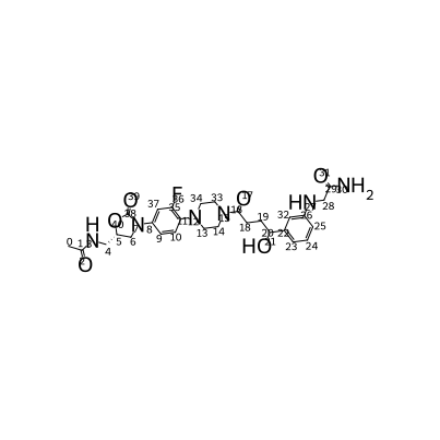 CC(=O)NC[C@H]1CN(c2ccc(N3CCN(C(=O)CCC(O)c4cccc(NCC(N)=O)c4)CC3)c(F)c2)C(=O)O1